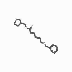 O=C(/C=C/C=C/COCc1ccccc1)NCC1CCOC1